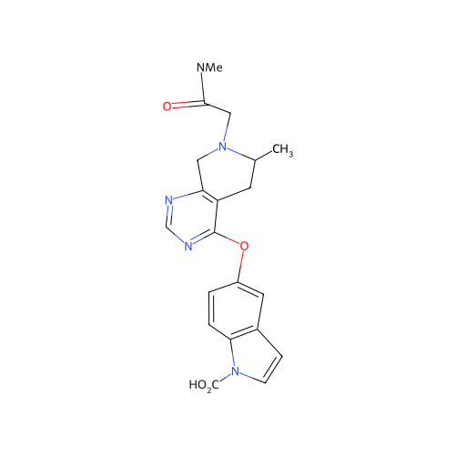 CNC(=O)CN1Cc2ncnc(Oc3ccc4c(ccn4C(=O)O)c3)c2CC1C